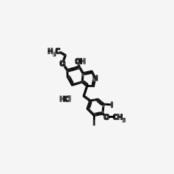 CCOc1ccc2c(Cc3cc(I)c(OC)c(I)c3)cncc2c1O.Cl